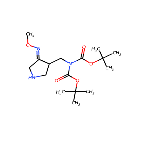 CON=C1CNCC1CN(C(=O)OC(C)(C)C)C(=O)OC(C)(C)C